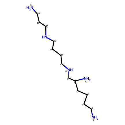 NCCCCC(N)CNCCCCNCCCN